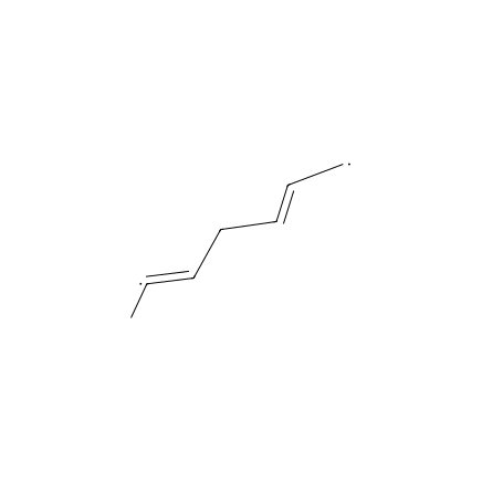 [CH2]C=CC/C=[C]/C